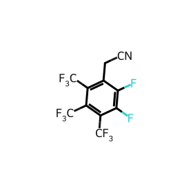 N#CCc1c(F)c(F)c(C(F)(F)F)c(C(F)(F)F)c1C(F)(F)F